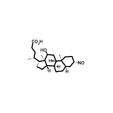 C[C@H](CCC(=O)O)[C@H]1CC[C@H]2[C@@H]3CC[C@@H]4C[C@@H](N=O)CC[C@]4(C)[C@H]3C[C@H](O)[C@]12C